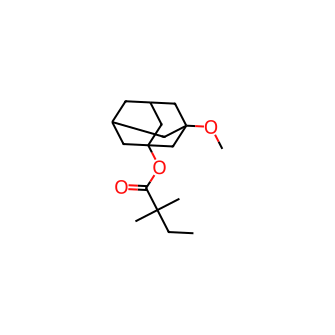 CCC(C)(C)C(=O)OC12CC3CC(CC(OC)(C3)C1)C2